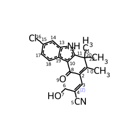 CC1=C(/C=C(/C#N)CO)C(=O)c2c([nH]c3cc(Cl)ccc23)C1(C)C